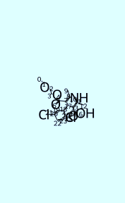 COCCOC(=O)C1=C(C)NC(C)=C(C(=O)O)C1c1cc(Cl)ccc1Cl